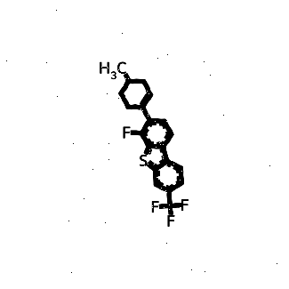 CC1CC=C(c2ccc3c(sc4cc(C(F)(F)F)ccc43)c2F)CC1